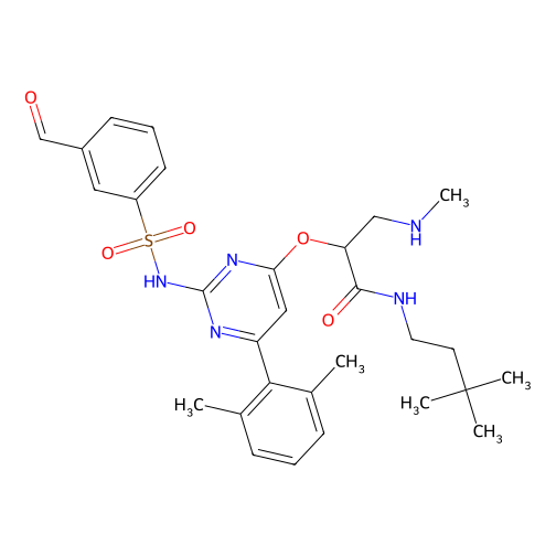 CNCC(Oc1cc(-c2c(C)cccc2C)nc(NS(=O)(=O)c2cccc(C=O)c2)n1)C(=O)NCCC(C)(C)C